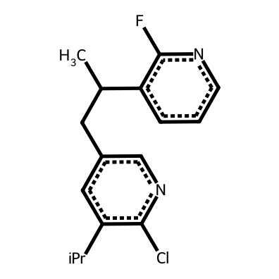 CC(C)c1cc(CC(C)c2cccnc2F)cnc1Cl